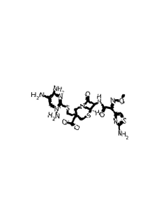 CON=C(C(=O)NC1C(=O)N2CC(CSc3nc(N)c(N)c[n+]3N)(C(=O)[O-])CS[C@H]12)c1csc(N)n1